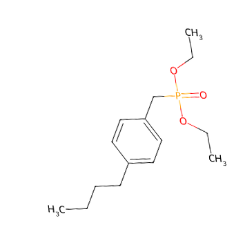 CCCCc1ccc(CP(=O)(OCC)OCC)cc1